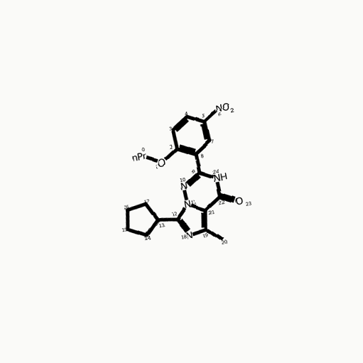 CCCOc1ccc([N+](=O)[O-])cc1-c1nn2c(C3CCCC3)nc(C)c2c(=O)[nH]1